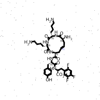 NCCCC[C@@H]1NC(=O)[C@H](CCCCN)NC(=O)[C@@H](N)C/C=C/C[C@@H](C(=O)N[C@@H](Cc2ccc(O)cc2)C(=O)N[C@@H](Cc2cc(F)c(F)cc2F)C(=O)O)NC1=O